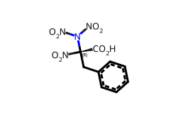 O=C(O)[C@](Cc1ccccc1)(N([N+](=O)[O-])[N+](=O)[O-])[N+](=O)[O-]